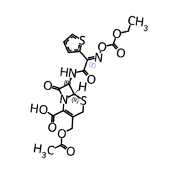 CCOC(=O)O/N=C(/C(=O)N[C@@H]1C(=O)N2C(C(=O)O)=C(COC(C)=O)CS[C@H]12)c1cccs1